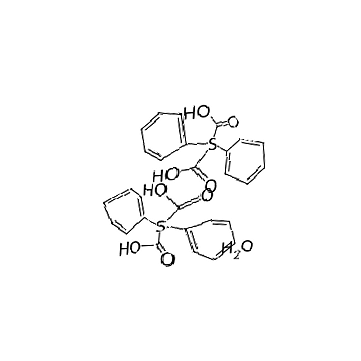 O.O=C(O)S(C(=O)O)(c1ccccc1)c1ccccc1.O=C(O)S(C(=O)O)(c1ccccc1)c1ccccc1